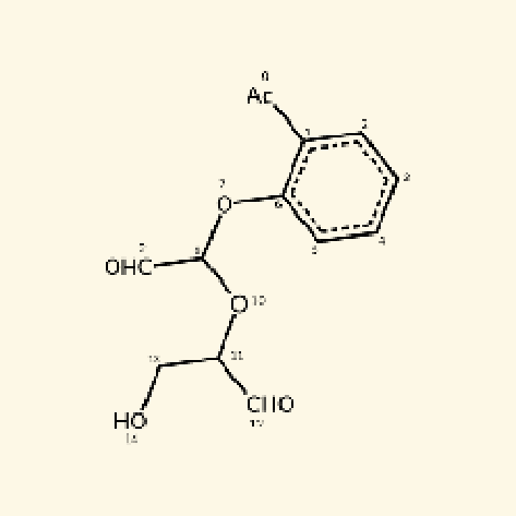 CC(=O)c1ccccc1OC(C=O)OC(C=O)CO